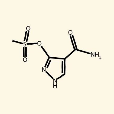 CS(=O)(=O)Oc1n[nH]cc1C(N)=O